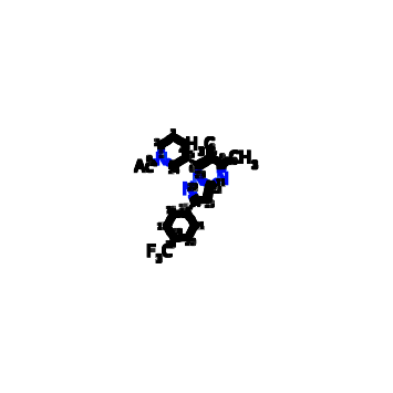 CC(=O)N1CCC[C@H](c2c(C)c(C)nc3cc([C@H]4CC[C@H](C(F)(F)F)CC4)nn23)C1